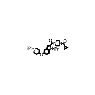 CC(C)N1CCC(Oc2ccc3c(c2)cc(C(=O)N2CCN(C(=O)C4CC4)CC2)n3C(C)C)CC1